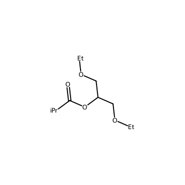 CCOCC(COCC)OC(=O)C(C)C